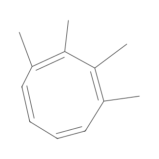 CC1=C(C)C(C)=C(C)C=CC=C1